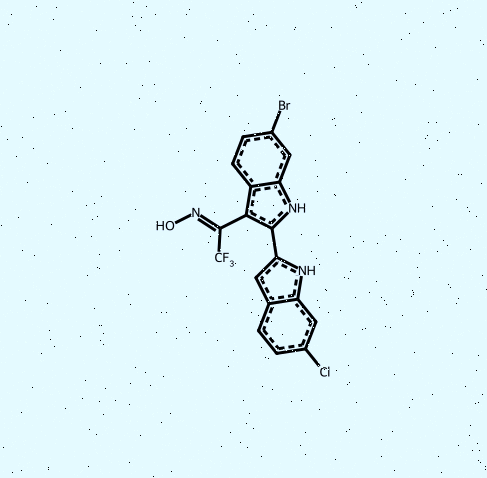 ON=C(c1c(-c2cc3ccc(Cl)cc3[nH]2)[nH]c2cc(Br)ccc12)C(F)(F)F